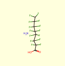 N.O=C(O)C(F)(F)C(F)(F)C(F)(F)C(F)(F)C(F)(F)C(F)(F)C(F)F